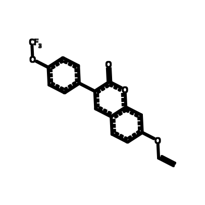 C=COc1ccc2cc(-c3ccc(OC(F)(F)F)cc3)c(=O)oc2c1